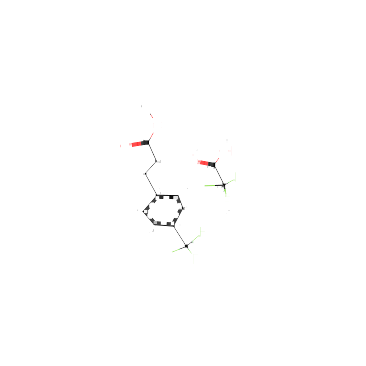 COC(=O)CCc1ccc(C(F)(F)F)cc1.O=C(O)C(F)(F)F